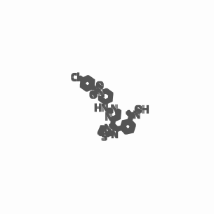 C/C(=N\O)c1cccc(-c2nc3sccn3c2-c2ccnc(N[C@@H]3CCCN(S(=O)(=O)c4ccc(Cl)cc4)C3)n2)c1